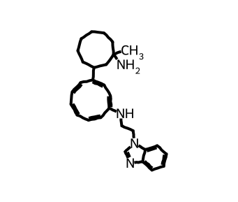 CC1(N)CCCCCCC(c2ccccccc(NCCn3cnc4ccccc43)cc2)C1